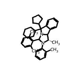 Cc1ccccc1N1C(c2c(C)cccc2C)N2C(c3ccccc3C2(C2CCCCC2)C2CCCC2)[C@@H]1C